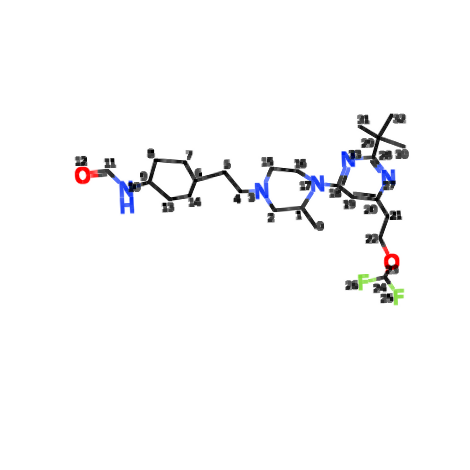 CC1CN(CCC2CCC(NC=O)CC2)CCN1c1cc(CCOC(F)F)nc(C(C)(C)C)n1